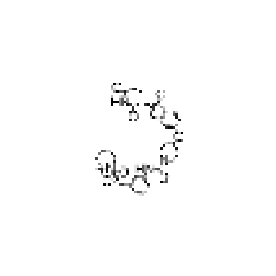 CC1(C)CCCCN1S(=O)(=O)Cc1cccc(NC(=O)N2CCC(Oc3ccc4c(c3)CN(C3CCC(=O)NC3=O)C4=O)CC2)c1